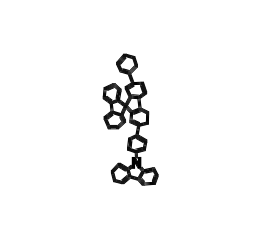 C1=CCCC(c2ccc3c(c2)C2(C4=C3CCC(c3ccc(-n5c6c(c7ccccc75)=CCCC=6)cc3)=C4)c3ccccc3-c3ccccc32)=C1